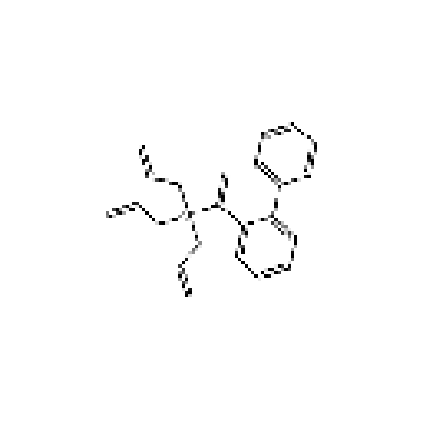 C=C[CH2][Sn]([CH2]C=C)([CH2]C=C)[C](=C)c1ccccc1-c1ccccc1